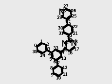 c1ccc(-c2cc(-c3ccccc3)cc(-c3ccnc(-c4ccc(-c5cccnc5)cc4)n3)c2)cc1